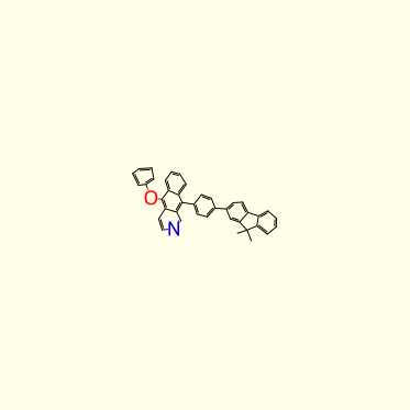 CC1(C)c2ccccc2-c2ccc(-c3ccc(-c4c5ccccc5c(Oc5ccccc5)c5ccncc45)cc3)cc21